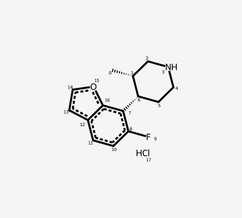 C[C@@H]1CNCC[C@@H]1c1c(F)ccc2ccoc12.Cl